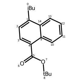 CCC(C)c1ccc(C(=O)OC(C)(C)C)c2ccccc12